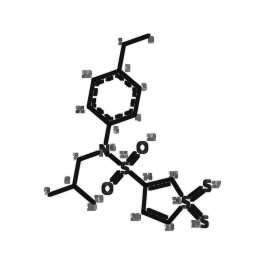 CCc1ccc(N(CC(C)C)S(=O)(=O)C2=CS(=S)(=S)C=C2)cc1